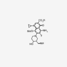 COc1c(N2CCC(O)C(C=N)C2)c(F)c(N)c2c(=O)c(C(=O)O)cn(C3CC3)c12